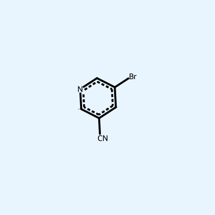 N#Cc1[c]ncc(Br)c1